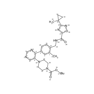 Cc1cc(-c2ncncc2N2CCN(C(=O)OC(C)(C)C)CC2)ccc1CNC(=O)c1nc(C2(C)CC2)no1